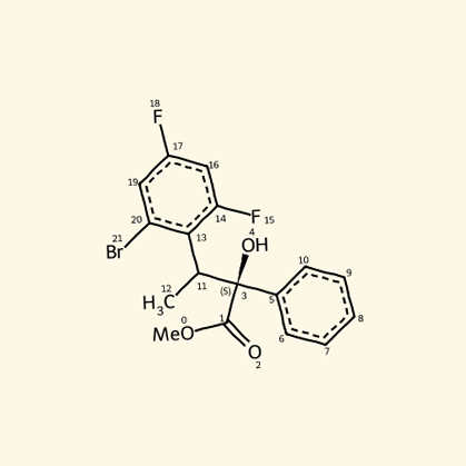 COC(=O)[C@@](O)(c1ccccc1)C(C)c1c(F)cc(F)cc1Br